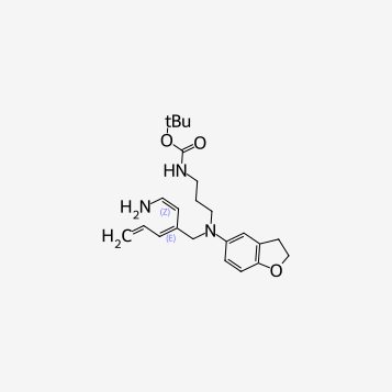 C=C/C=C(\C=C/N)CN(CCCNC(=O)OC(C)(C)C)c1ccc2c(c1)CCO2